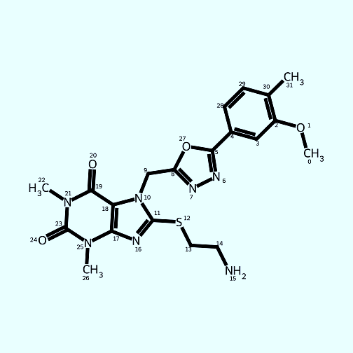 COc1cc(-c2nnc(Cn3c(SCCN)nc4c3c(=O)n(C)c(=O)n4C)o2)ccc1C